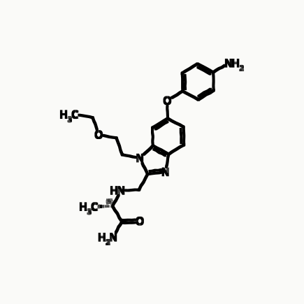 CCOCCn1c(CN[C@@H](C)C(N)=O)nc2ccc(Oc3ccc(N)cc3)cc21